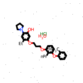 CCCc1c(OCCCOc2cc(O)c(N3CCCC3)cc2CC)cccc1Oc1ccccc1C(=O)O.Cl.O